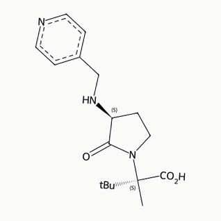 CC(C)(C)[C@@](C)(C(=O)O)N1CC[C@H](NCc2ccncc2)C1=O